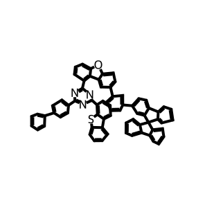 c1ccc(-c2ccc(-c3nc(-c4cccc5c4sc4ccccc45)nc(-c4cccc5oc6ccc(-c7cccc(-c8ccc9c(c8)C8(c%10ccccc%10-c%10ccccc%108)c8ccccc8-9)c7)cc6c45)n3)cc2)cc1